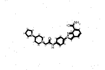 NC(=O)c1cccc2cn(-c3ccc(NC(=O)CN4CCC(N5CCCC5)CC4)cc3)nc12